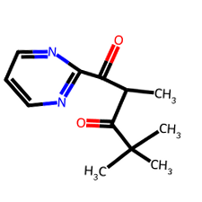 CC(C(=O)c1ncccn1)C(=O)C(C)(C)C